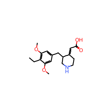 CCc1c(OC)cc(CC2CNCCC2=CC(=O)O)cc1OC